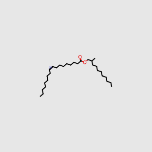 CCCCCCCC/C=C\CCCCCCCC(=O)OCC(C)CCCCCCCCC